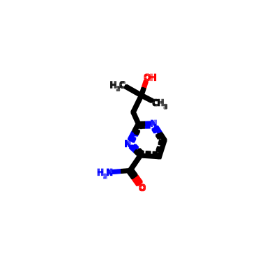 CC(C)(O)Cc1nccc(C(N)=O)n1